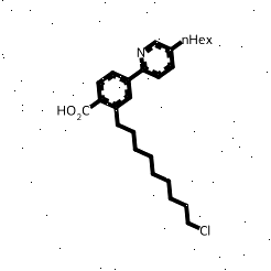 CCCCCCc1ccc(-c2ccc(C(=O)O)c(CCCCCCCCCCl)c2)nc1